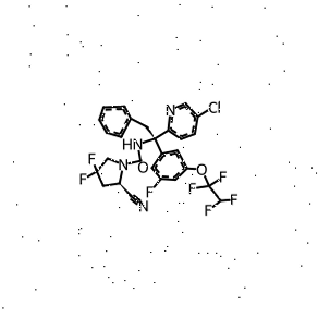 N#C[C@H]1CC(F)(F)CN1C(=O)N[C@@](Cc1ccccc1)(c1cc(F)cc(OC(F)(F)C(F)F)c1)c1ccc(Cl)cn1